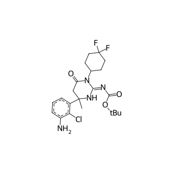 CC(C)(C)OC(=O)N=C1NC(C)(c2cccc(N)c2Cl)CC(=O)N1C1CCC(F)(F)CC1